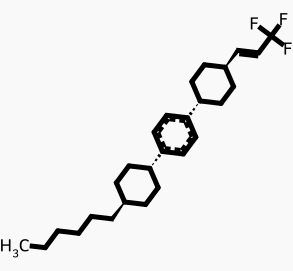 CCCCCC[C@H]1CC[C@H](c2ccc([C@H]3CC[C@H](C=CC(F)(F)F)CC3)cc2)CC1